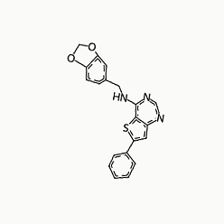 c1ccc(-c2cc3ncnc(NCc4ccc5c(c4)OCO5)c3s2)cc1